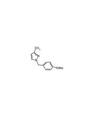 COc1ccc(Cn2ccc(C)n2)cc1